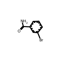 NC(=O)c1[c]ccc(Br)c1